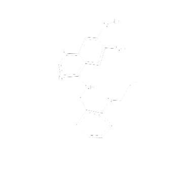 CCNc1cc2ncnc(NCc3ccccc3NCC(C)C)c2cc1[N+](=O)[O-]